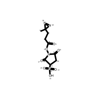 CC1(CCC(=O)ON2C(=O)CC(S(=O)(=O)O)C2=O)N=N1